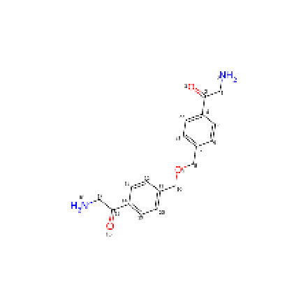 NCC(=O)c1ccc(COCc2ccc(C(=O)CN)cc2)cc1